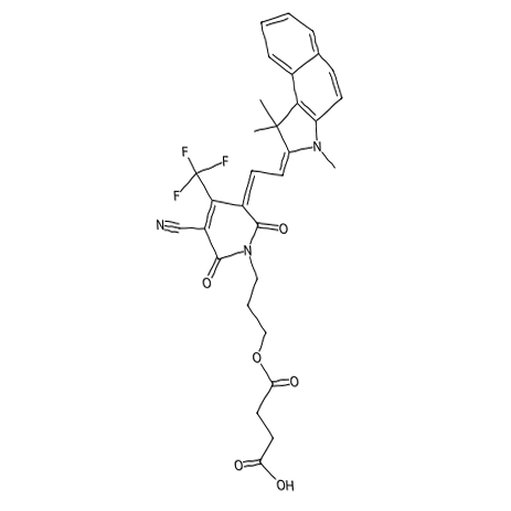 CN1/C(=C/C=C2\C(=O)N(CCCOC(=O)CCC(=O)O)C(=O)C(C#N)=C2C(F)(F)F)C(C)(C)c2c1ccc1ccccc21